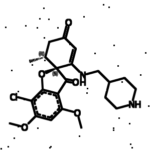 COc1cc(OC)c2c(c1Cl)O[C@]1(C2=O)C(NCC2CCNCC2)=CC(=O)C[C@H]1C